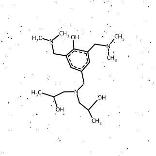 CC(O)CN(Cc1cc(CN(C)C)c(O)c(CN(C)C)c1)CC(C)O